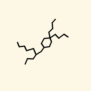 CCCCCC(CCC)CC1CCC(CCCC)(CCCC)CC1